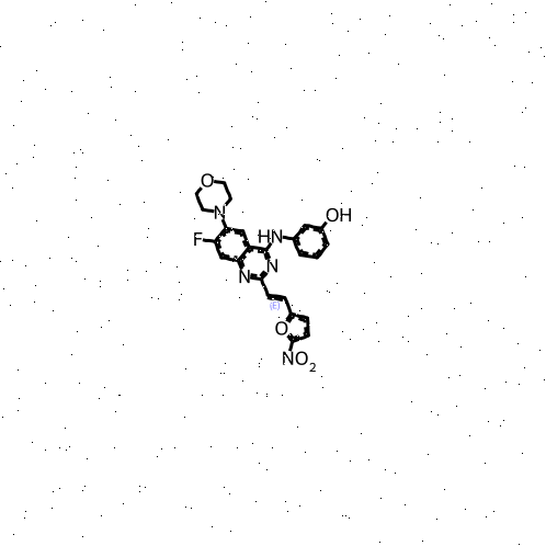 O=[N+]([O-])c1ccc(/C=C/c2nc(Nc3cccc(O)c3)c3cc(N4CCOCC4)c(F)cc3n2)o1